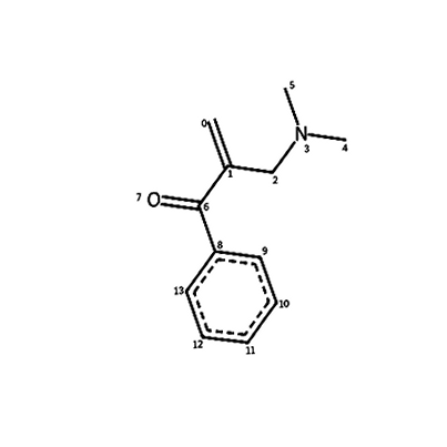 C=C(CN(C)C)C(=O)c1ccccc1